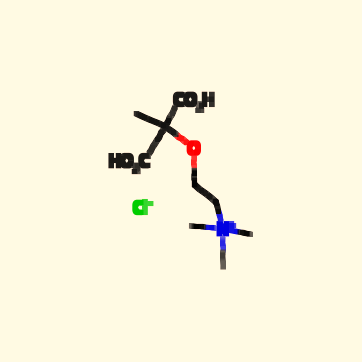 CC(OCC[N+](C)(C)C)(C(=O)O)C(=O)O.[Cl-]